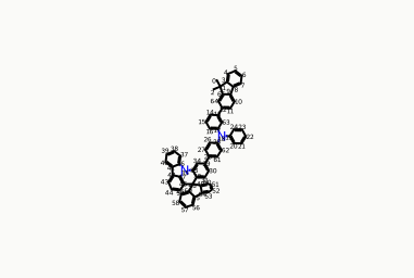 CC1(C)c2ccccc2-c2ccc(-c3cccc(N(c4ccccc4)c4ccc(-c5ccc6c(c5)-n5c7ccccc7c7cccc(c75)C65c6ccccc6-c6ccccc65)cc4)c3)cc21